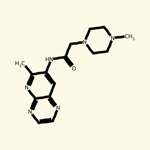 Cc1nc2nccnc2cc1NC(=O)CN1CCN(C)CC1